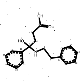 O=C(O)CCC(O)(NCCc1ccccc1)c1ccccc1